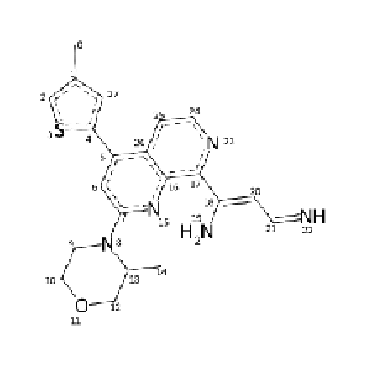 Cc1csc(-c2cc(N3CCOCC3C)nc3c(/C(N)=C/C=N)nccc23)c1